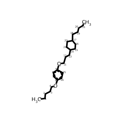 CCCCCOc1ccc(OCCCC2CCC(CCCCC)CC2)cc1